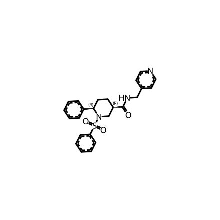 O=C(NCc1ccncc1)[C@@H]1CC[C@H](c2ccccc2)N(S(=O)(=O)c2ccccc2)C1